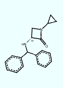 O=C1[C@H](NC(c2ccccc2)c2ccccc2)CN1C1CC1